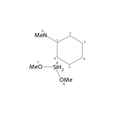 CNC1CCCCC1.CO[SiH2]OC